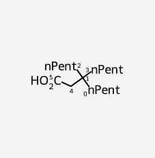 CCCCCC(CCCCC)(CCCCC)CC(=O)O